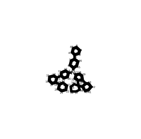 c1ccc(-c2ccc(N(c3ccc(-c4ccccc4-c4ccccc4)cc3)c3ccc4c(c3)C3(CCCCC3)c3ccccc3-4)cc2)cc1